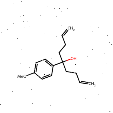 C=CCCC(O)(CCC=C)c1ccc(OC)cc1